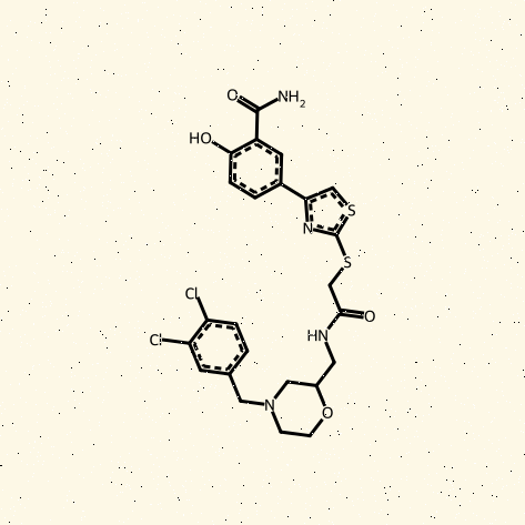 NC(=O)c1cc(-c2csc(SCC(=O)NCC3CN(Cc4ccc(Cl)c(Cl)c4)CCO3)n2)ccc1O